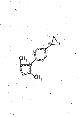 Cc1ccc(C)n1-c1ccc([C@H]2CO2)cn1